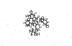 Cn1c2c(c(=O)[nH]c1=O)N(Cc1ccccc1)C(SC1(CN)CCCCC1)N2Cc1nc2cc(Cl)ccc2o1.O=C(O)C(F)(F)F